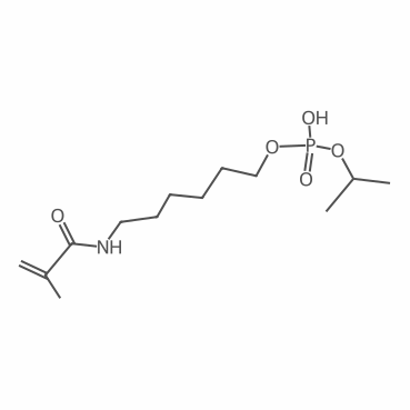 C=C(C)C(=O)NCCCCCCOP(=O)(O)OC(C)C